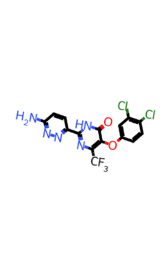 Nc1ccc(-c2nc(C(F)(F)F)c(Oc3ccc(Cl)c(Cl)c3)c(=O)[nH]2)nn1